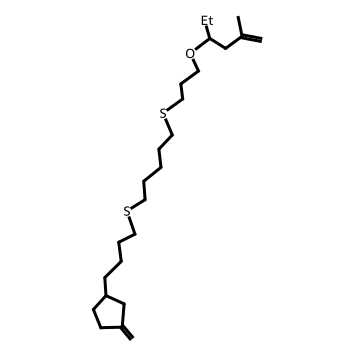 C=C(C)CC(CC)OCCCSCCCCCSCCCCC1CCC(=C)C1